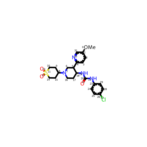 COc1ccc(C2CN(C3CCS(=O)(=O)CC3)CCC2NC(=O)Nc2ccc(Cl)cc2)nc1